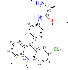 C[C@H](N)C(=O)Nc1ccc(-c2c3ccccc3[n+](C)c3ccccc23)cc1.[Cl-]